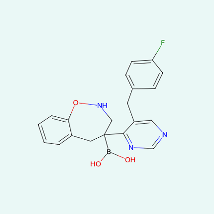 OB(O)C1(c2ncncc2Cc2ccc(F)cc2)CNOc2ccccc2C1